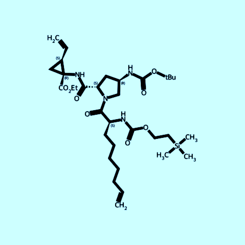 C=CCCCCC[C@H](NC(=O)OCC[Si](C)(C)C)C(=O)N1C[C@H](NC(=O)OC(C)(C)C)C[C@H]1C(=O)N[C@]1(C(=O)OCC)C[C@H]1C=C